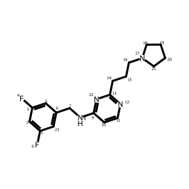 Fc1cc(F)cc(CNc2ccnc(CCCN3CCCC3)n2)c1